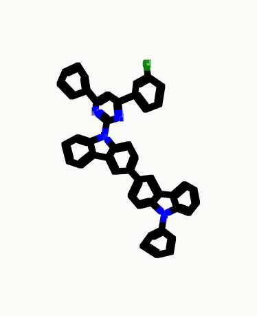 Clc1cccc(-c2cc(-c3ccccc3)nc(-n3c4ccccc4c4cc(-c5ccc6c(c5)c5ccccc5n6-c5ccccc5)ccc43)n2)c1